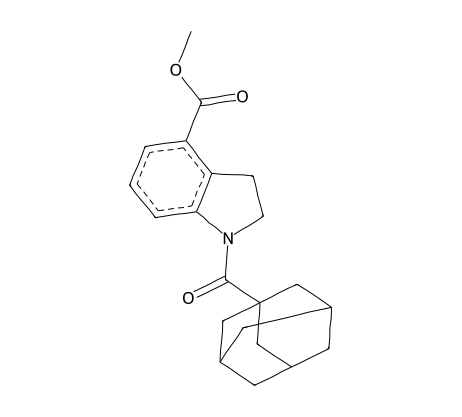 COC(=O)c1cccc2c1CCN2C(=O)C12CC3CC(CC(C3)C1)C2